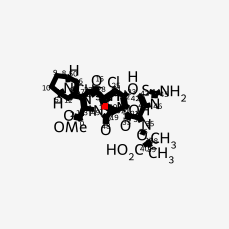 COC(=O)C1=C(C[N+]2(C)[C@@H]3CC[C@H]2C[C@@H](NC(=O)c2ccc(O)c(O)c2Cl)C3)CS[C@@H]2[C@H](NC(=O)/C(=N\OC(C)(C)C(=O)O)c3csc(N)n3)C(=O)N12